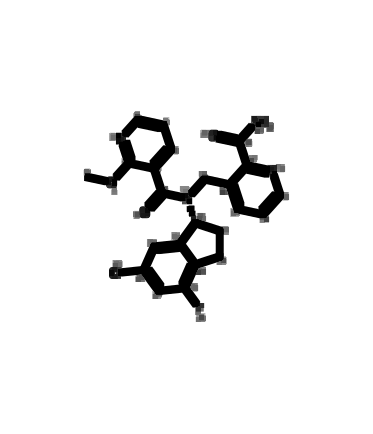 COc1ncccc1C(=O)N(Cc1cccnc1C(N)=O)[C@@H]1CCc2c(F)cc(Cl)cc21